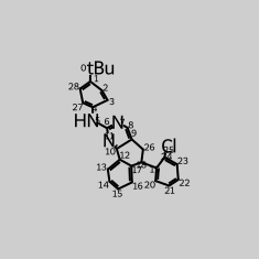 CC(C)(C)c1ccc(Nc2ncc3c(n2)-c2ccccc2C(c2ccccc2Cl)C3)cc1